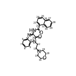 O=C(Nc1nc2ccccc2n(CCN2CCOCC2)c1=O)c1cccc2ccccc12